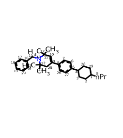 CCCC1CCC(c2ccc(C3=CC(C)(C)N(Cc4ccccc4)C(C)(C)C3)cc2)CC1